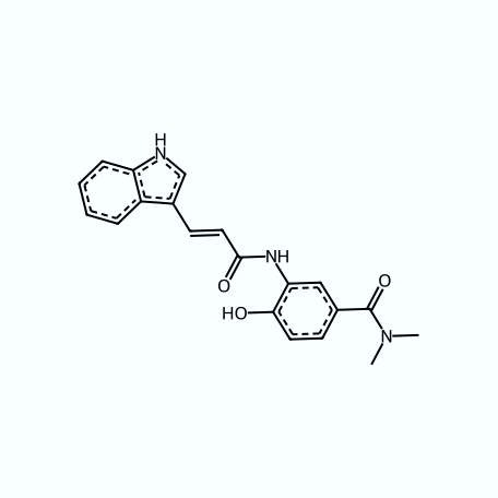 CN(C)C(=O)c1ccc(O)c(NC(=O)/C=C/c2c[nH]c3ccccc23)c1